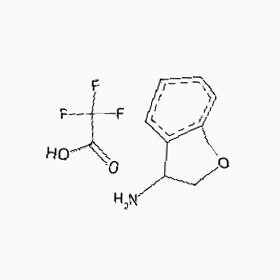 NC1COc2ccccc21.O=C(O)C(F)(F)F